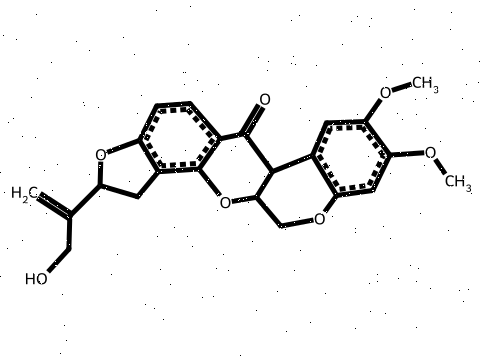 C=C(CO)C1Cc2c(ccc3c2OC2COc4cc(OC)c(OC)cc4C2C3=O)O1